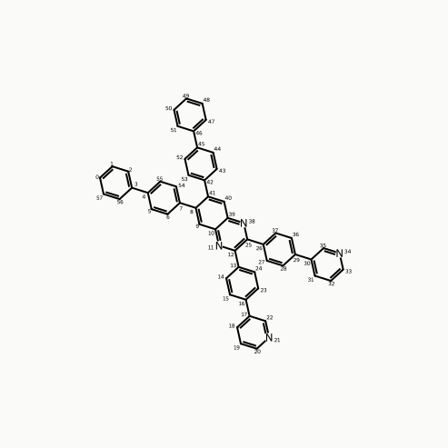 c1ccc(-c2ccc(-c3cc4nc(-c5ccc(-c6cccnc6)cc5)c(-c5ccc(-c6cccnc6)cc5)nc4cc3-c3ccc(-c4ccccc4)cc3)cc2)cc1